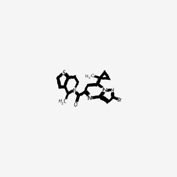 CC1c2ccsc2CCN1C(=O)c1cc(C2(C)CC2)n2nc(Br)cc2n1